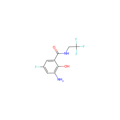 Nc1cc(F)cc(C(=O)NCC(F)(F)F)c1O